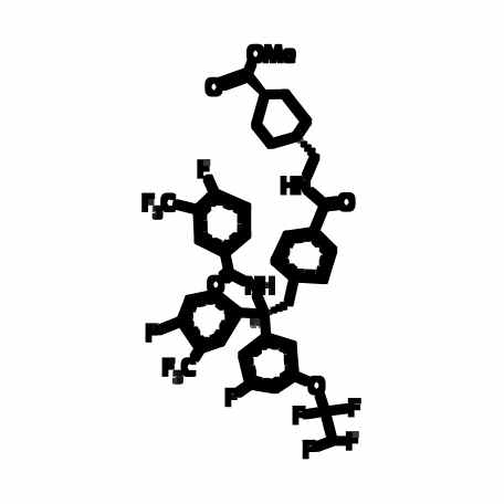 COC(=O)[C@H]1CC[C@H](CNC(=O)c2ccc(C[C@](NC(=O)c3ccc(F)c(C(F)(F)F)c3)(c3cc(F)cc(OC(F)(F)C(F)F)c3)c3ccc(F)c(C(F)(F)F)c3)cc2)CC1